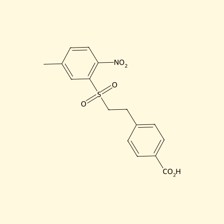 Cc1ccc([N+](=O)[O-])c(S(=O)(=O)CCc2ccc(C(=O)O)cc2)c1